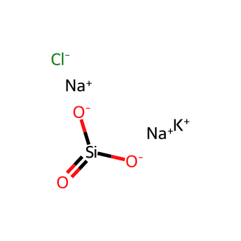 O=[Si]([O-])[O-].[Cl-].[K+].[Na+].[Na+]